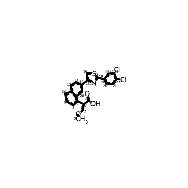 CO/C=C(/C(=O)O)c1cccc2ccc(-c3csc(-c4ccc(Cl)c(Cl)c4)n3)cc12